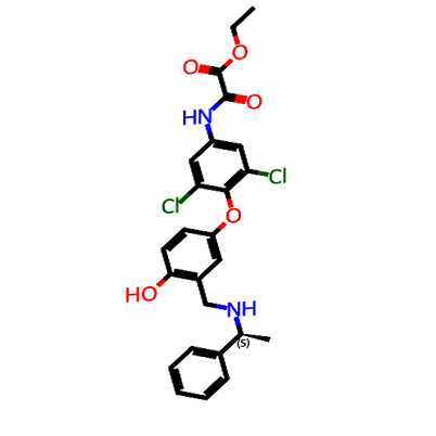 CCOC(=O)C(=O)Nc1cc(Cl)c(Oc2ccc(O)c(CN[C@@H](C)c3ccccc3)c2)c(Cl)c1